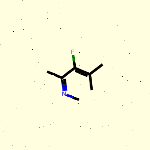 C/N=C(/C)C(F)=C(C)C